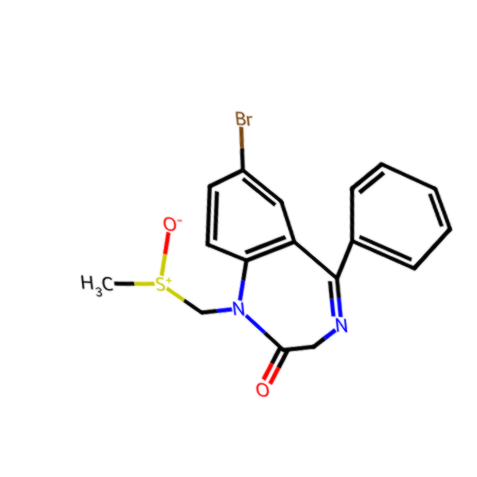 C[S+]([O-])CN1C(=O)CN=C(c2ccccc2)c2cc(Br)ccc21